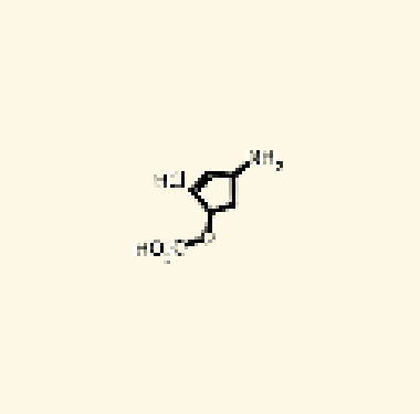 Cl.NC1C=CC(OC(=O)O)C1